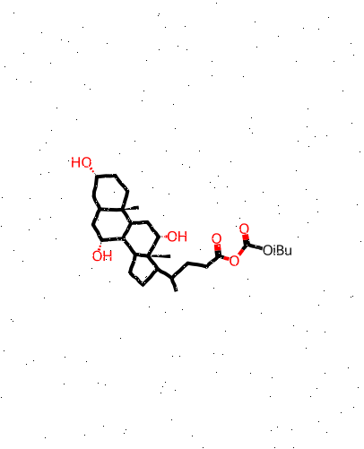 CC(C)COC(=O)OC(=O)CCC(C)C1CCC2C3C(C[C@H](O)[C@]12C)[C@@]1(C)CC[C@@H](O)CC1C[C@H]3O